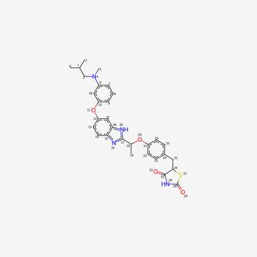 CC(C)CN(C)c1cccc(Oc2ccc3nc(C(C)Oc4ccc(CC5SC(=O)NC5=O)cc4)[nH]c3c2)c1